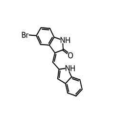 O=C1Nc2ccc(Br)cc2/C1=C/c1cc2ccccc2[nH]1